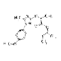 CCC(C)OC(=O)C(C)Oc1nc(C)n(-c2ccc(OC)cc2)n1